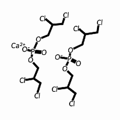 O=P([O-])(OCC(Cl)CCl)OCC(Cl)CCl.O=P([O-])(OCC(Cl)CCl)OCC(Cl)CCl.[Ca+2]